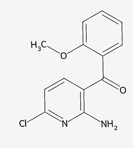 COc1ccccc1C(=O)c1ccc(Cl)nc1N